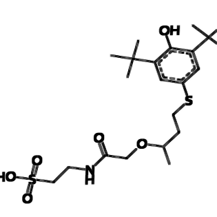 CC(CCSc1cc(C(C)(C)C)c(O)c(C(C)(C)C)c1)OCC(=O)NCCS(=O)(=O)O